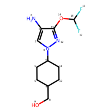 Nc1cn(C2CCC(CO)CC2)nc1OC(F)F